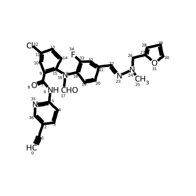 C#Cc1ccc(NC(=O)c2cc(Cl)ccc2N(C=O)c2ccc(C=NN(C)Cc3ccco3)cc2F)nc1